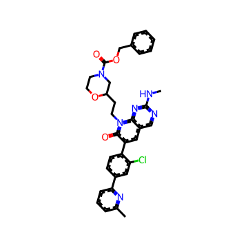 CNc1ncc2cc(-c3ccc(-c4cccc(C)n4)cc3Cl)c(=O)n(CCC3CN(C(=O)OCc4ccccc4)CCO3)c2n1